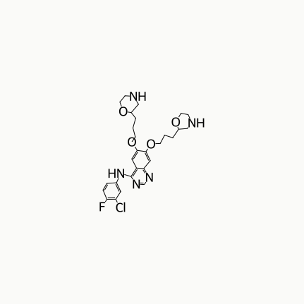 Fc1ccc(Nc2ncnc3cc(OCCCC4CNCCO4)c(OCCCC4CNCCO4)cc23)cc1Cl